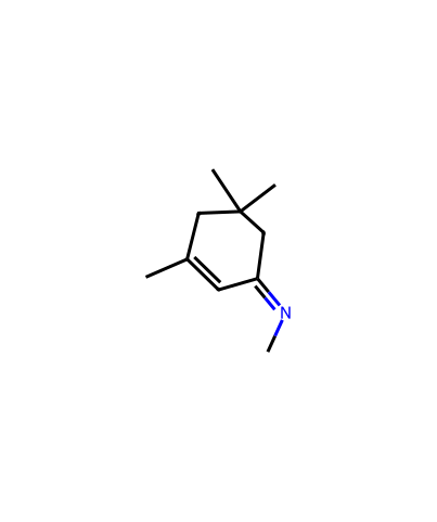 CN=C1C=C(C)CC(C)(C)C1